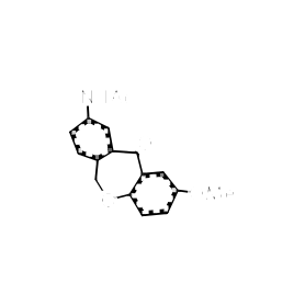 COc1ccc2c(c1)C(=O)c1cc(NC(C)=O)ccc1CO2